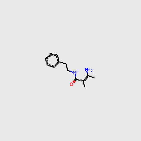 CC(N)=C(C)C(=O)NCCc1ccccc1